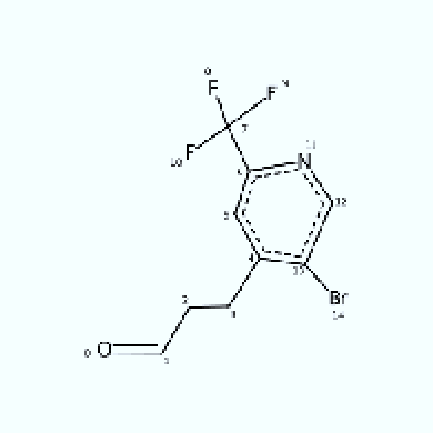 O=CCCc1cc(C(F)(F)F)ncc1Br